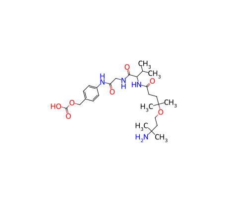 CC(C)C(NC(=O)CCC(C)(C)OCCC(C)(C)N)C(=O)NCC(=O)Nc1ccc(COC(=O)O)cc1